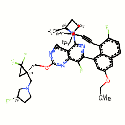 COCOc1cc(-c2nc(N3CC[C@@H]3C)c3cnc(OC[C@]4(CN5CC[C@H](F)C5)CC4(F)F)nc3c2F)c2c(C#C[Si](C(C)C)(C(C)C)C(C)C)c(F)ccc2c1